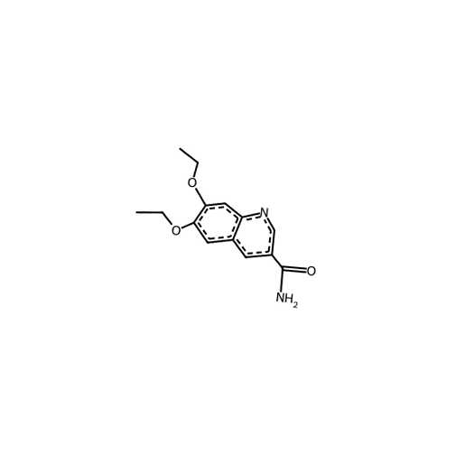 CCOc1cc2cc(C(N)=O)cnc2cc1OCC